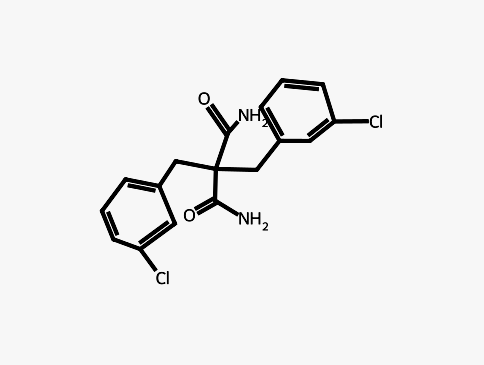 NC(=O)C(Cc1cccc(Cl)c1)(Cc1cccc(Cl)c1)C(N)=O